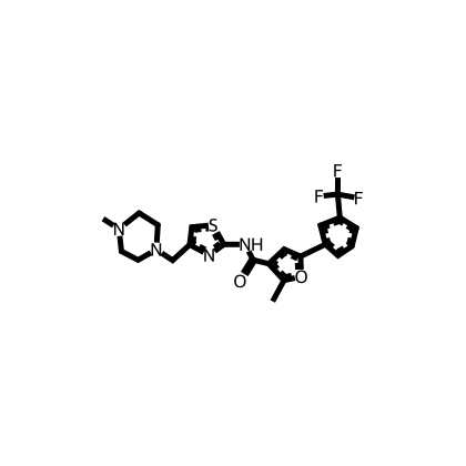 Cc1oc(-c2cccc(C(F)(F)F)c2)cc1C(=O)Nc1nc(CN2CCN(C)CC2)cs1